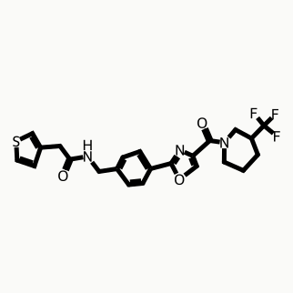 O=C(Cc1ccsc1)NCc1ccc(-c2nc(C(=O)N3CCCC(C(F)(F)F)C3)co2)cc1